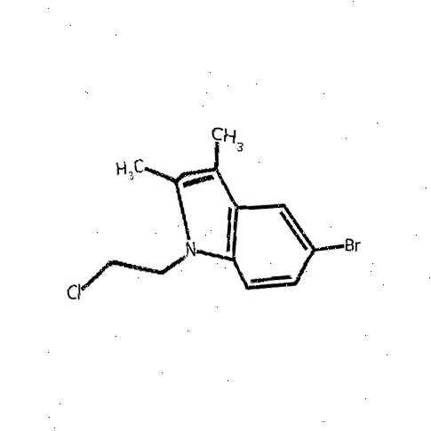 Cc1c(C)n(CCCl)c2ccc(Br)cc12